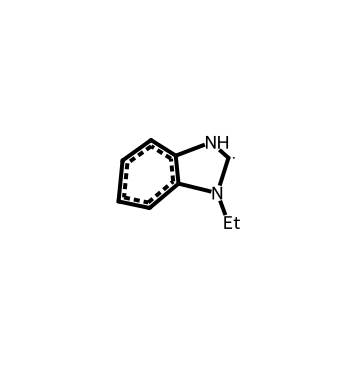 CCN1[CH]Nc2ccccc21